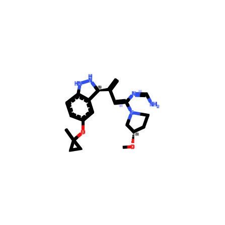 C=C(/C=C(\N=C/N)N1CC[C@H](OC)C1)[C@@H]1NNc2ccc(OC3(C)CC3)cc21